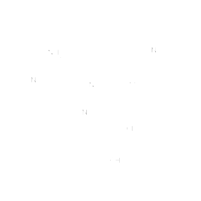 CC(C)Cn1c(COc2cccc3cccnc23)nc2c(N)nc3ccccc3c21